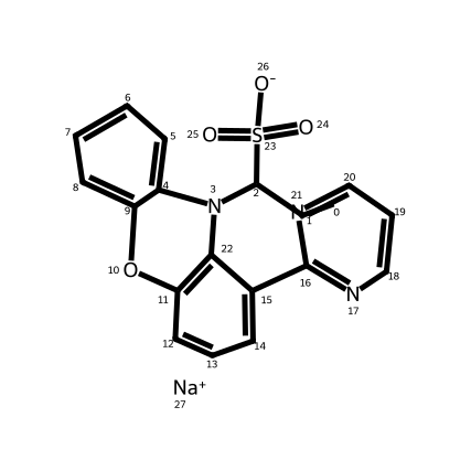 CCC(N1c2ccccc2Oc2cccc(-c3ncccn3)c21)S(=O)(=O)[O-].[Na+]